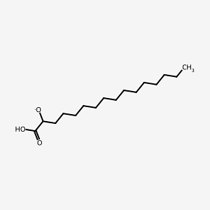 CCCCCCCCCCCCCCC([O])C(=O)O